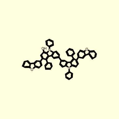 Oc1cc(-c2ccc3oc4ccccc4c3c2)c(-c2ccccc2)c2c3cc(-c4ccc5c(c4)c4c(-c6ccccc6)c(-c6ccc7oc8ccccc8c7c6)ccc4n5-c4ccccc4)ccc3n(-c3ccccc3)c12